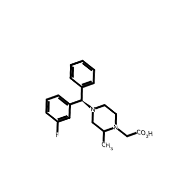 CC1CN([C@H](c2ccccc2)c2cccc(F)c2)CCN1CC(=O)O